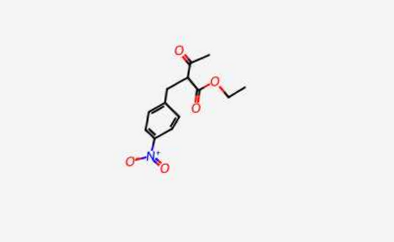 CCOC(=O)C(Cc1ccc([N+](=O)[O-])cc1)C(C)=O